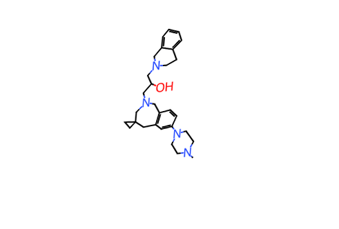 CN1CCN(c2ccc3c(c2)CC2(CC2)CN(CC(O)CN2CCc4ccccc4C2)C3)CC1